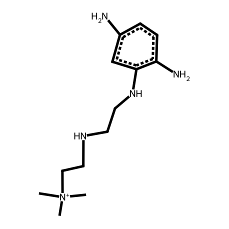 C[N+](C)(C)CCNCCNc1cc(N)ccc1N